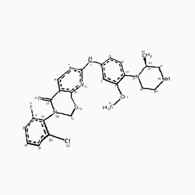 COc1cc(Nc2ncc3c(n2)OCN(c2c(F)cccc2Cl)C3=O)ccc1N1CCNC[C@@H]1C